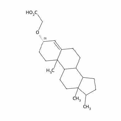 CC1CCC2C3CCC4=C[C@@H](OCC(=O)O)CCC4(C)C3CCC12C